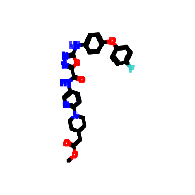 COC(=O)CC1CCN(c2ccc(NC(=O)c3nnc(Nc4ccc(Oc5ccc(F)cc5)cc4)o3)cn2)CC1